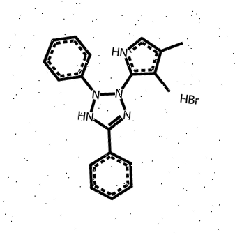 Br.Cc1c[nH]c(N2N=C(c3ccccc3)NN2c2ccccc2)c1C